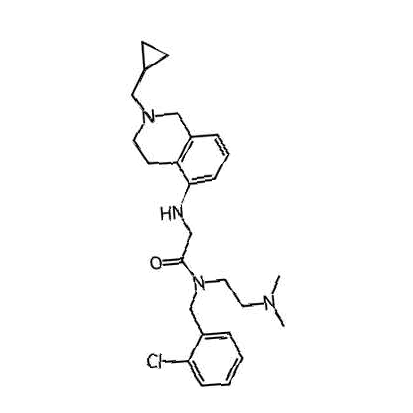 CN(C)CCN(Cc1ccccc1Cl)C(=O)CNc1cccc2c1CCN(CC1CC1)C2